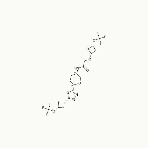 O=C(CO[C@H]1C[C@@H](OC(F)(F)F)C1)N[C@@H]1CC[C@@H](c2nnc([C@H]3C[C@@H](OC(F)(F)F)C3)o2)OC1